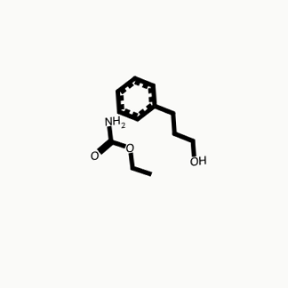 CCOC(N)=O.OCCCc1ccccc1